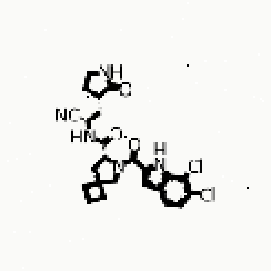 N#C[C@H](C[C@@H]1CCNC1=O)NC(=O)[C@H]1CC2(CCC2)CN1C(=O)c1cc2ccc(Cl)c(Cl)c2[nH]1